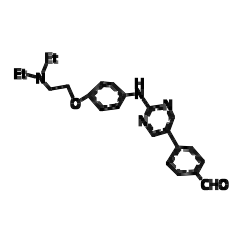 CCN(CC)CCOc1ccc(Nc2ncc(-c3ccc(C=O)cc3)cn2)cc1